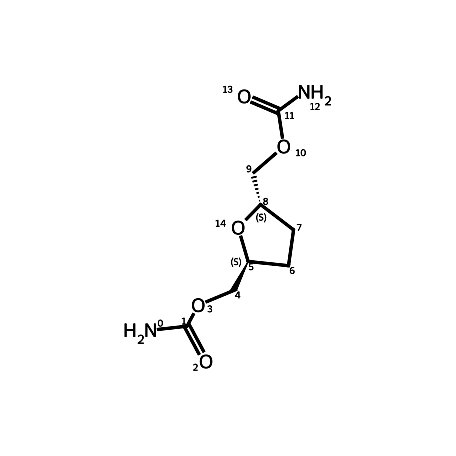 NC(=O)OC[C@@H]1CC[C@@H](COC(N)=O)O1